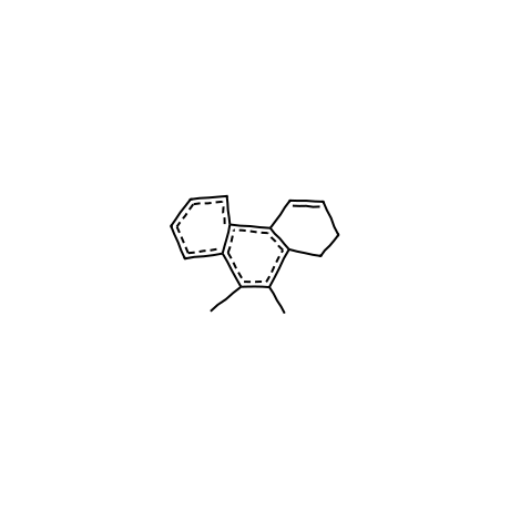 Cc1c2c(c3ccccc3c1C)C=CCC2